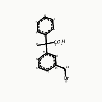 CC(C(=O)O)(c1ccccc1)c1cccc(CBr)c1